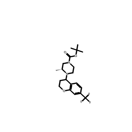 C[C@@H]1CN(C(=O)OC(C)(C)C)CCN1C1CCOc2cc(C(F)(F)F)ccc21